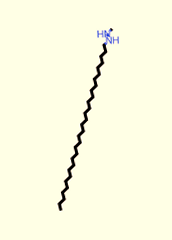 CCCCCCCCCCCCCCCCCCCCCCCCCCCCCCNNC